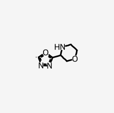 [c]1nnc(C2COCCN2)o1